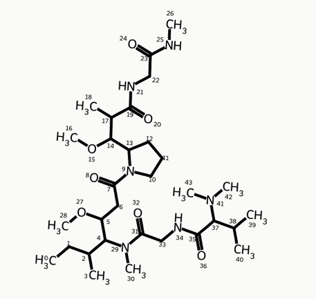 CCC(C)C(C(CC(=O)N1CCCC1C(OC)C(C)C(=O)NCC(=O)NC)OC)N(C)C(=O)CNC(=O)C(C(C)C)N(C)C